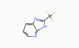 FC(F)(F)c1nc2cccnc2[nH]1